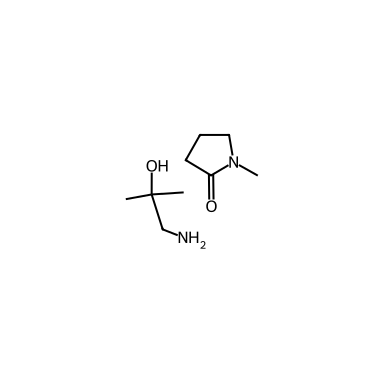 CC(C)(O)CN.CN1CCCC1=O